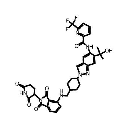 CC(C)(O)c1cc2nn(C3CCC(CNc4cccc5c4C(=O)N(C4CCC(=O)NC4=O)C5=O)CC3)cc2cc1NC(=O)c1cccc(C(F)(F)F)n1